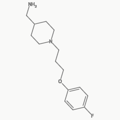 NCC1CCN(CCCOc2ccc(F)cc2)CC1